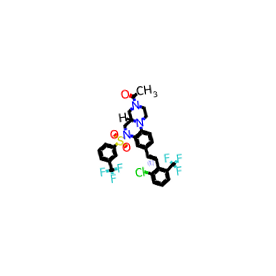 CC(=O)N1CCN2c3ccc(/C=C/c4c(Cl)cccc4C(F)(F)F)cc3N(S(=O)(=O)c3cccc(C(F)(F)F)c3)C[C@@H]2C1